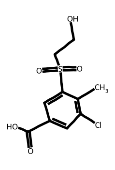 Cc1c(Cl)cc(C(=O)O)cc1S(=O)(=O)CCO